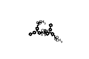 COC(=O)CCc1ccc(N(c2ccc(-c3ccccc3)cc2)c2ccc3sc(-c4sc5ccc(N(c6ccc(CCC(=O)OC)cc6)c6ccc(-c7ccccc7)cc6)cc5c4C)c(C)c3c2)cc1